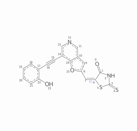 O=C1NC(=S)S/C1=C/c1cc2cncc(C#Cc3ccccc3O)c2o1